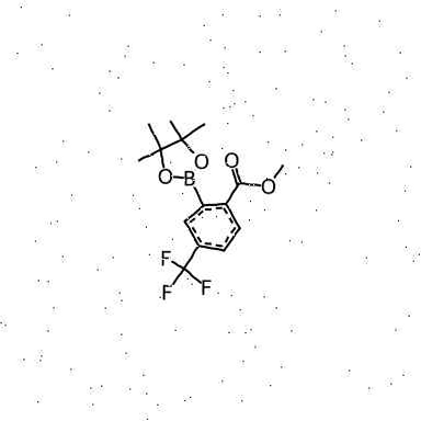 COC(=O)c1ccc(C(F)(F)F)cc1B1OC(C)(C)C(C)(C)O1